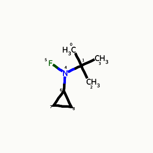 CC(C)(C)N(F)C1CC1